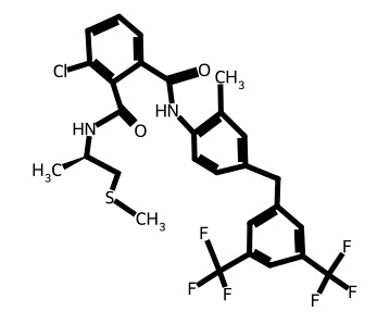 CSC[C@@H](C)NC(=O)c1c(Cl)cccc1C(=O)Nc1ccc(Cc2cc(C(F)(F)F)cc(C(F)(F)F)c2)cc1C